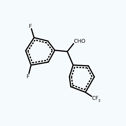 O=CC(c1ccc(C(F)(F)F)cc1)c1cc(F)cc(F)c1